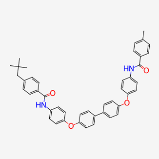 Cc1ccc(C(=O)Nc2ccc(Oc3ccc(-c4ccc(Oc5ccc(NC(=O)c6ccc(CC(C)(C)C)cc6)cc5)cc4)cc3)cc2)cc1